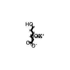 O=C([O-])CCCCCO.[K+].[K+].[OH-]